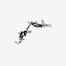 C=CCOC(=O)Nc1ccc2c(c1)CN1C(=O)c3cc(C)c(OCCCCCOc4cc5c(cc4OC)C(=O)N4Cc6cc(NC(=O)OCC=C)ccc6C[C@H]4C=N5)cc3N=C[C@@H]1C2